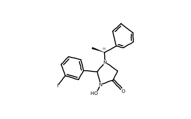 C[C@@H](c1ccccc1)N1CC(=O)N(O)C1c1cccc(I)c1